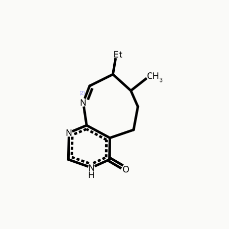 CCC1/C=N\c2nc[nH]c(=O)c2CCC1C